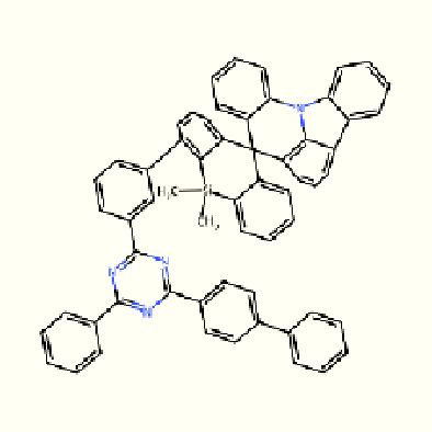 C[Si]1(C)c2ccccc2C2(c3ccccc3-n3c4ccccc4c4cccc2c43)c2cccc(-c3cccc(-c4nc(-c5ccccc5)nc(-c5ccc(-c6ccccc6)cc5)n4)c3)c21